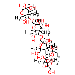 CC(O)(CC1(C)CC(C)(CO)O[C@](C)(COC[C@]2(C)C(C)(CO)O[C@](C)(COC[C@]3(C)C(C)(CO)OC[C@@](C)(O)C3(C)O)[C@@](C)(O)C2(C)O)[C@@]1(C)O)OCC1(C)OC2(CO)O[C@@](C)(C1(C)O)[C@]2(C)O